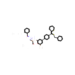 O=C(O)c1ccccc1C(=O)NCC[C@@H](Oc1c(Br)cc(-c2ccc(-c3c(Cc4ccccc4)sc4ccccc34)cc2)cc1Br)C(=O)O